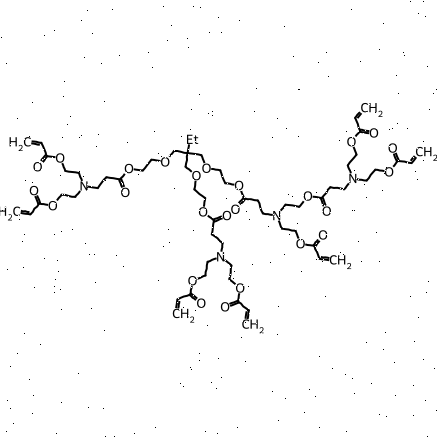 C=CC(=O)OCCN(CCOC(=O)C=C)CCC(=O)OCCOCC(CC)(COCCOC(=O)CCN(CCOC(=O)C=C)CCOC(=O)C=C)COCCOC(=O)CCN(CCOC(=O)C=C)CCOC(=O)CCN(CCOC(=O)C=C)CCOC(=O)C=C